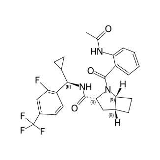 CC(=O)Nc1ccccc1C(=O)N1[C@@H](C(=O)N[C@@H](c2ccc(C(F)(F)F)cc2F)C2CC2)C[C@H]2CC[C@H]21